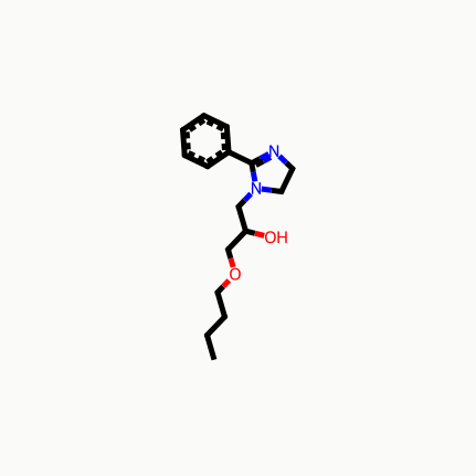 CCCCOCC(O)CN1CCN=C1c1ccccc1